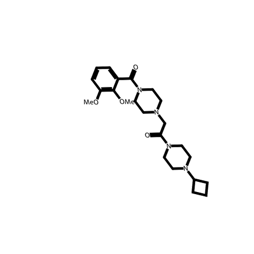 COc1cccc(C(=O)N2CCN(CC(=O)N3CCN(C4CCC4)CC3)CC2)c1OC